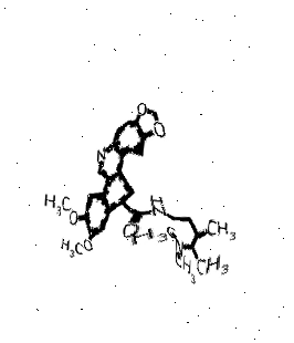 COc1cc2c(C(=O)NCCC(C)C(C)N(C)C)cc3c4cc5c(cc4ncc3c2cc1OC)OCO5